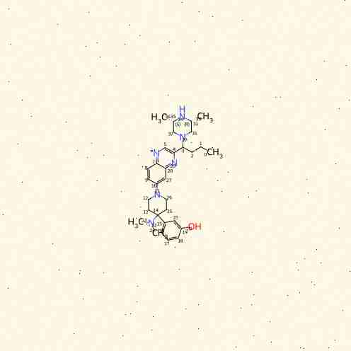 CCCC(c1cnc2ccc(N3CCC(c4cccc(O)c4)(N(C)C)CC3)cc2n1)N1C[C@@H](C)N[C@@H](C)C1